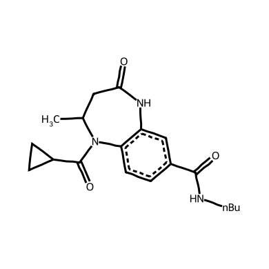 CCCCNC(=O)c1ccc2c(c1)NC(=O)CC(C)N2C(=O)C1CC1